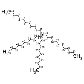 CCCCCCCCCCCCN(CCCCCCCCCCCC)N(CCCCCCCCCC)CCCCCCCCCC